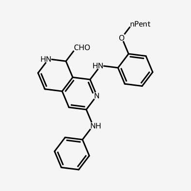 CCCCCOc1ccccc1Nc1nc(Nc2ccccc2)cc2c1C(C=O)NC=C2